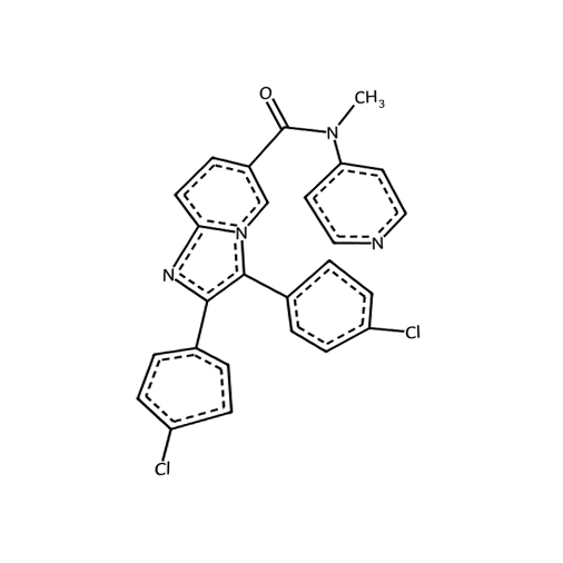 CN(C(=O)c1ccc2nc(-c3ccc(Cl)cc3)c(-c3ccc(Cl)cc3)n2c1)c1ccncc1